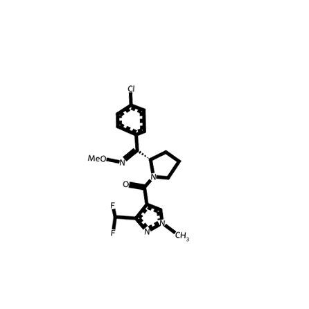 CO/N=C(\c1ccc(Cl)cc1)[C@@H]1CCCN1C(=O)c1cn(C)nc1C(F)F